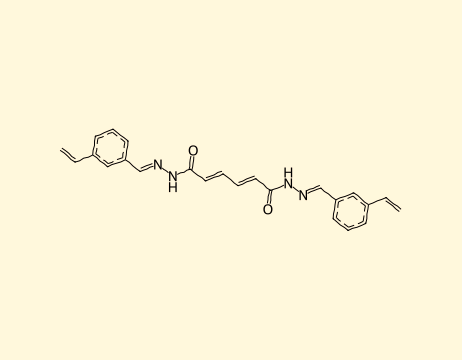 C=Cc1cccc(/C=N/NC(=O)/C=C/C=C/C(=O)N/N=C/c2cccc(C=C)c2)c1